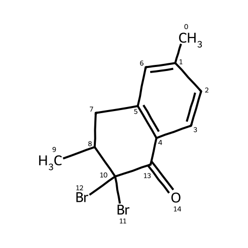 Cc1ccc2c(c1)CC(C)C(Br)(Br)C2=O